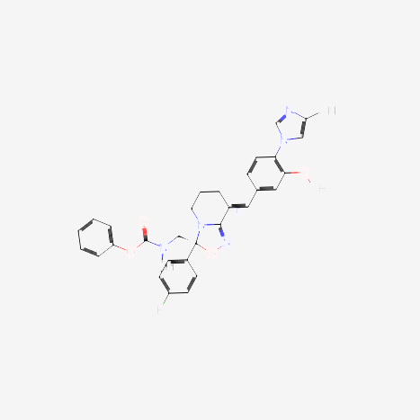 COc1cc(/C=C2\CCCN3C2=NO[C@]3(CN(C)C(=O)Oc2ccccc2)c2ccc(F)cc2)ccc1-n1cnc(C)c1